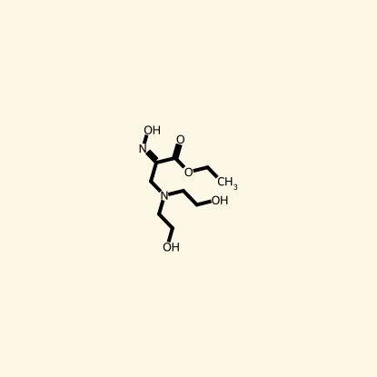 CCOC(=O)/C(CN(CCO)CCO)=N\O